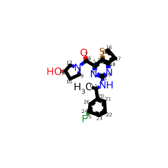 CC(Nc1nc(C(=O)N2CC[C@H](O)C2)c2sccc2n1)c1cccc(F)c1